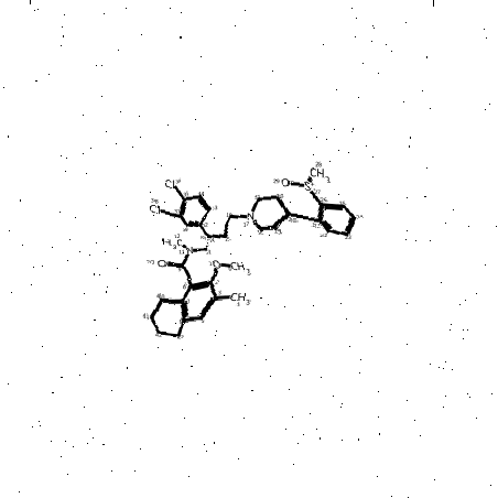 COc1c(C)cc2c(c1C(=O)N(C)C[C@@H](CCN1CCC(c3ccccc3[S+](C)[O-])CC1)c1ccc(Cl)c(Cl)c1)CCCC2